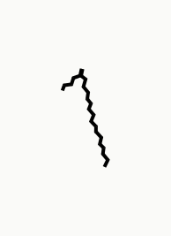 C=C(CCCC)CCCCCCCCCCCCCCCC